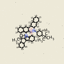 CC(C)(C)c1ccc(Nc2cc3ccccc3cc2-c2cc3ccccc3c3c2Bc2cccc4c5c(n-3c24)C(C)(C)c2ccccc2-5)cc1